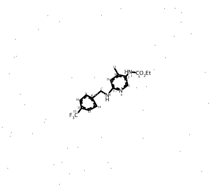 CCOC(=O)Nc1cnc(NCc2ccc(C(F)(F)F)cc2)cc1C